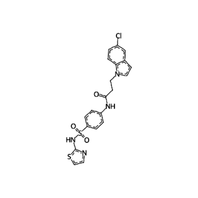 O=C(CCn1ccc2cc(Cl)ccc21)Nc1ccc(S(=O)(=O)Nc2nccs2)cc1